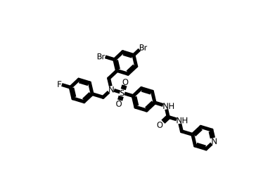 O=C(NCc1ccncc1)Nc1ccc(S(=O)(=O)N(Cc2ccc(F)cc2)Cc2ccc(Br)cc2Br)cc1